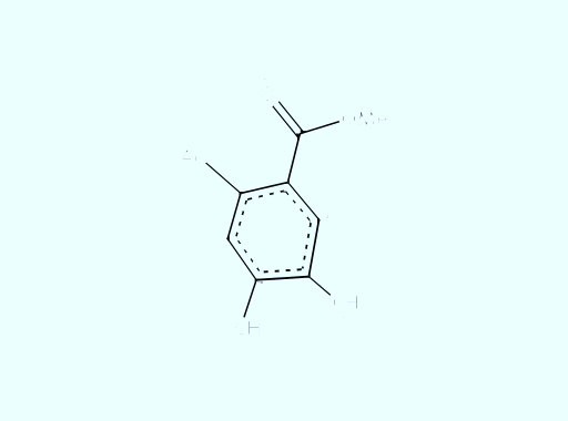 COC(=O)c1cc(C)c(C)cc1C(C)=O